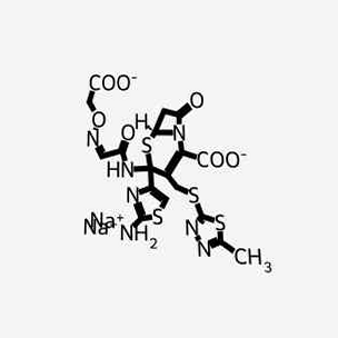 Cc1nnc(SCC2=C(C(=O)[O-])N3C(=O)C[C@@H]3SC2(NC(=O)/C=N\OCC(=O)[O-])c2csc(N)n2)s1.[Na+].[Na+]